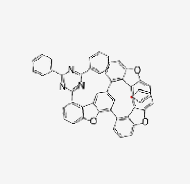 c1ccc(-c2nc(-c3ccccc3)nc(-c3cccc4oc5c(-c6cccc7oc8ccccc8c67)cc(-c6cccc7oc8ccccc8c67)cc5c34)n2)cc1